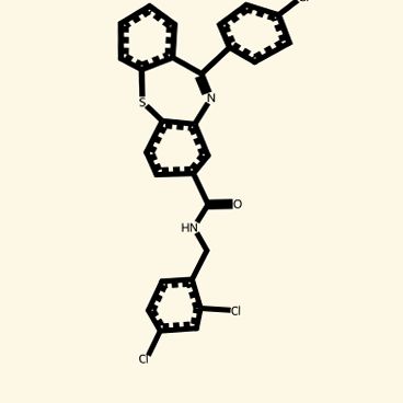 O=C(NCc1ccc(Cl)cc1Cl)c1ccc2c(c1)N=C(c1ccc(Cl)cc1)c1ccccc1S2